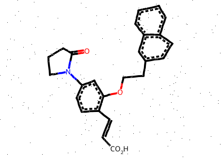 O=C(O)/C=C/c1ccc(N2CCCC2=O)cc1OCCc1ccc2ccccc2c1